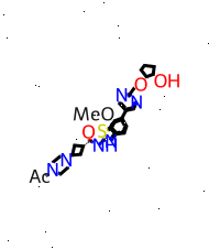 COc1c(-c2cnc(CO[C@H]3CCC[C@@H]3O)nc2)ccc2nc(NC(=O)[C@H]3C[C@@H](N4CCN(C(C)=O)CC4)C3)sc12